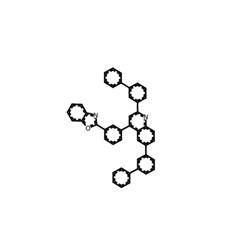 c1ccc(-c2cccc(-c3ccc4nc(-c5cccc(-c6ccccc6)c5)cc(-c5cccc(-c6nc7ccccc7o6)c5)c4c3)c2)cc1